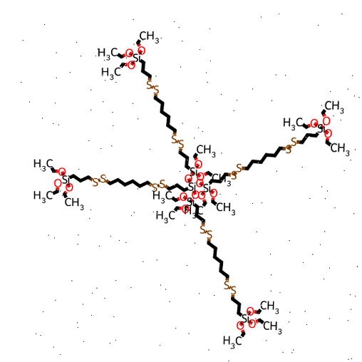 CCO[Si](CCCSSCCCCCCSSCCC[Si](OCC)(OCC)O[Si](CCCSSCCCCCCSSCCC[Si](OCC)(OCC)OCC)(O[Si](CCCSSCCCCCCSSCCC[Si](OCC)(OCC)OCC)(OCC)OCC)O[Si](CCCSSCCCCCCSSCCC[Si](OCC)(OCC)OCC)(OCC)OCC)(OCC)OCC